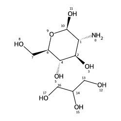 N[C@@H]1[C@@H](O)[C@H](O)[C@@H](CO)O[C@H]1O.OCC(O)CO